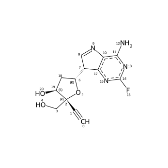 C#C[C@]1(CO)O[C@@H](C2C=Nc3c(N)nc(F)nc32)C[C@@H]1O